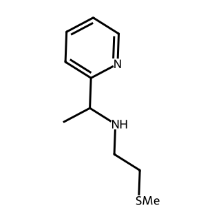 CSCCNC(C)c1ccccn1